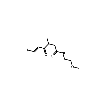 COCCNC(=O)CC(C)C(=O)C=CI